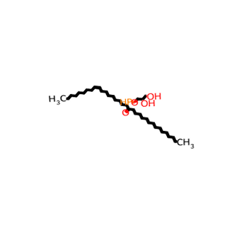 CCCCCCCC/C=C\CCCCCCCC(POCC(O)CO)C(=O)CCCCCCCCCCCCCCC